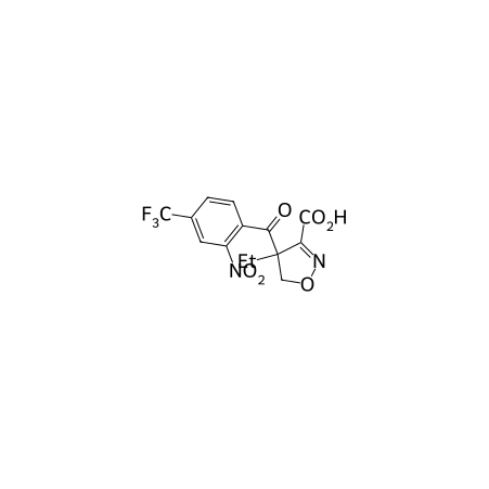 CCC1(C(=O)c2ccc(C(F)(F)F)cc2[N+](=O)[O-])CON=C1C(=O)O